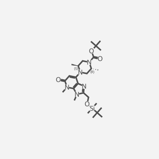 C[C@@H]1CN(c2cc(=O)n(C)c3c2nc(CO[Si](C)(C)C(C)(C)C)n3C)[C@@H](C)CN1C(=O)OC(C)(C)C